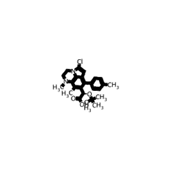 Cc1ccc(-c2c([C@H](OC(C)(C)C)C(=O)O)c(C)c3c4c2cc(Cl)n4CCN3C)cc1